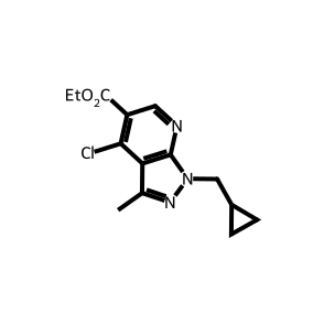 CCOC(=O)c1cnc2c(c(C)nn2CC2CC2)c1Cl